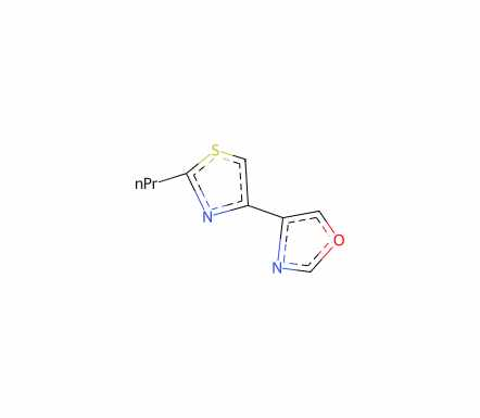 CCCc1nc(-c2cocn2)cs1